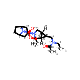 CCOC(=O)N1C2CCC1CC(N1C[C@@H]3C(CN(CC)C(C)=O)[C@@H]3C1)C2